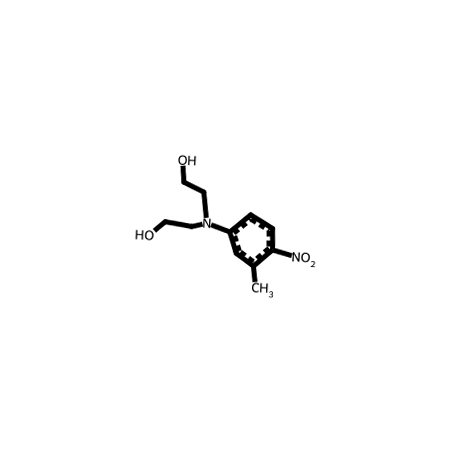 Cc1cc(N(CCO)CCO)ccc1[N+](=O)[O-]